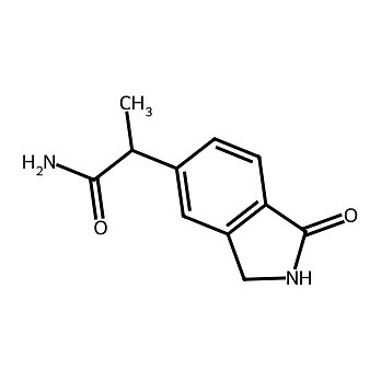 CC(C(N)=O)c1ccc2c(c1)CNC2=O